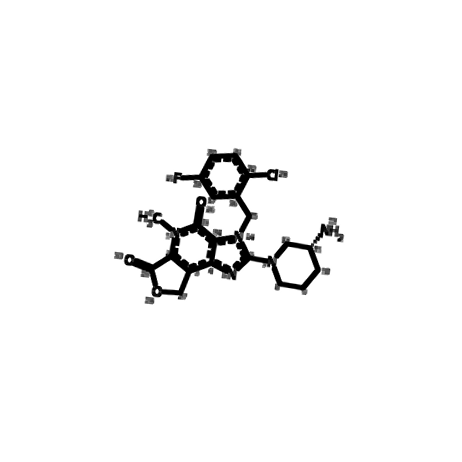 Cn1c2c(c3nc(N4CCC[C@@H](N)C4)n(Cc4cc(F)ccc4Cl)c3c1=O)COC2=O